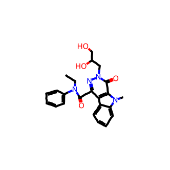 CCN(C(=O)c1nn(CC(O)CO)c(=O)c2c1c1ccccc1n2C)c1ccccc1